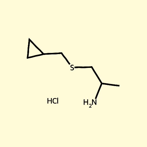 CC(N)CSCC1CC1.Cl